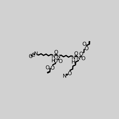 C=CC(=O)OCCOC(=O)N(CCCCCCOC#N)C(=O)NCCCCCN(C(=O)NCCCCCCN=C=O)C(=O)OCCOC(=O)C=C